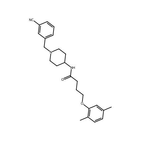 Cc1ccc(C)c(OCCCC(=O)NC2CCN(Cc3cccc(C#N)c3)CC2)c1